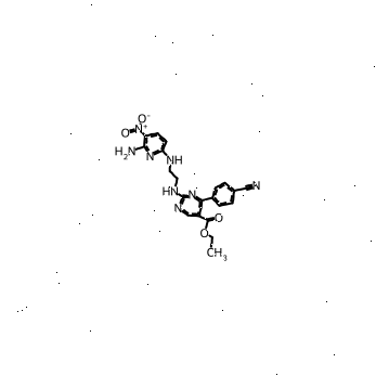 CCOC(=O)c1cnc(NCCNc2ccc([N+](=O)[O-])c(N)n2)nc1-c1ccc(C#N)cc1